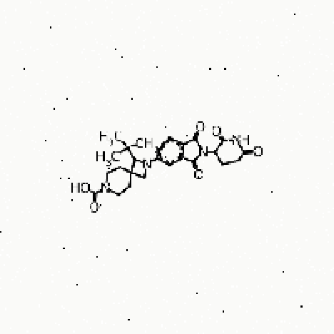 CC(C)(C)C1N(c2ccc3c(c2)C(=O)N(C2CCC(=O)NC2=O)C3=O)CC12CCN(C(=O)O)CC2